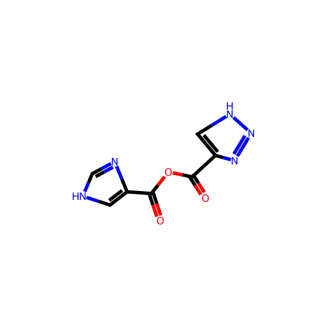 O=C(OC(=O)c1c[nH]nn1)c1c[nH]cn1